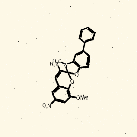 COc1cc([N+](=O)[O-])cc2c1OC1(Oc3ccc(-c4ccccc4)cc3N1C)C(C)=C2